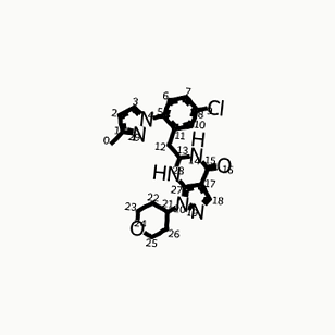 Cc1ccn(-c2ccc(Cl)cc2CC2NC(=O)c3cnn(C4CCOCC4)c3N2)n1